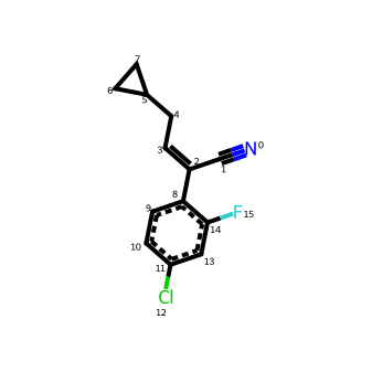 N#C/C(=C\CC1CC1)c1ccc(Cl)cc1F